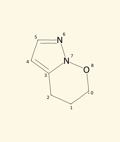 [CH]1CCc2ccnn2O1